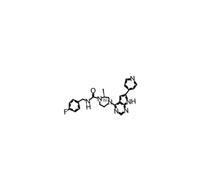 C[C@H]1CN(c2ncnc3[nH]c(-c4ccncc4)cc23)CCN1C(=O)NCc1ccc(F)cc1